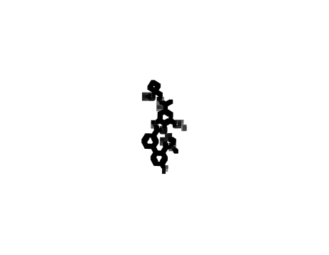 CC(NCC1(O)CCC1)c1cc(C(F)(F)F)c2oc(-c3cccc(-c4ccc(F)cc4-c4nncn4C)c3)nc2c1